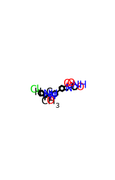 Cc1c(C(=O)N2CCC(c3ccc4c(c3)CN(C3CCC(=O)NC3=O)C4=O)CC2C)[nH]c2cc(Cl)ccc12